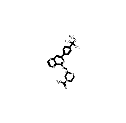 COC(C)(C)c1ccc(-c2cc3nccnc3c(OC[C@@H]3CN(C(C)=O)CCO3)n2)cc1